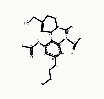 C=C(C)[C@@H]1CCC(CO)=C[C@H]1c1c(OC(C)=O)cc(CCCC)cc1OC(C)=O